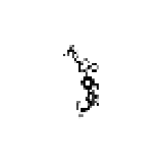 CC(=O)NCC1CN(c2ccc(-n3cnc(C=C(F)F)c3)c(F)c2)C(=O)O1